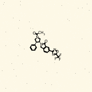 CC(=O)N1C[C@H](c2ccccc2)[C@@H](N2Cc3ccc(-c4noc(C(F)(F)F)n4)cc3C2=O)C1